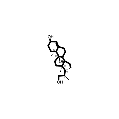 C[C@H](CO)[C@H]1CCC2C3CCC4=CC(O)CC[C@]4(C)[C@@]3(O)CC[C@@]21C